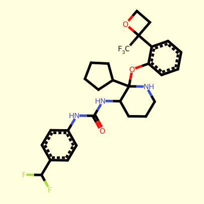 O=C(Nc1ccc(C(F)F)cc1)NC1CCCNC1(Oc1ccccc1C1(C(F)(F)F)CCO1)C1CCCC1